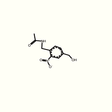 CC(=O)NCc1ccc(CO)cc1[N+](=O)[O-]